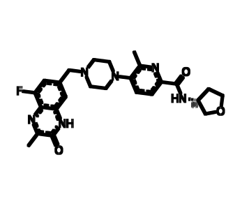 Cc1nc(C(=O)N[C@@H]2CCOC2)ccc1N1CCN(Cc2cc(F)c3nc(C)c(=O)[nH]c3c2)CC1